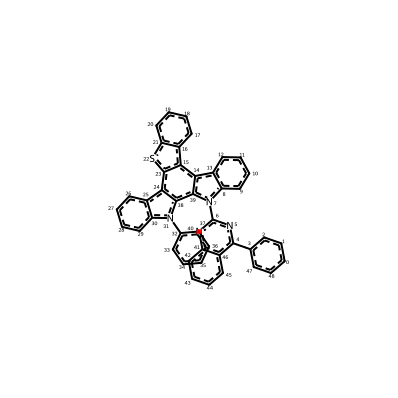 c1ccc(-c2nc(-n3c4ccccc4c4c5c6ccccc6sc5c5c6ccccc6n(-c6ccccc6)c5c43)nc3ccccc23)cc1